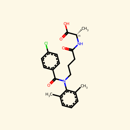 Cc1cccc(C)c1N(CCCC(=O)N[C@@H](C)C(=O)O)C(=O)c1ccc(Cl)cc1